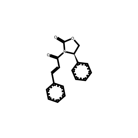 O=C(/C=C/c1ccccc1)N1C(=O)OC[C@H]1c1ccccc1